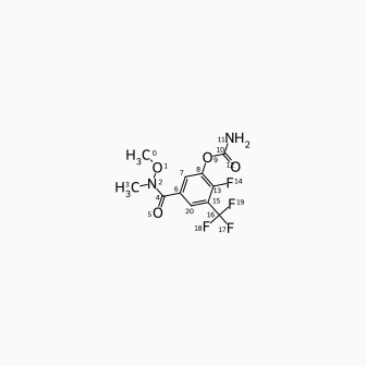 CON(C)C(=O)c1cc(OC(N)=O)c(F)c(C(F)(F)F)c1